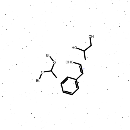 CC(O)CO.CCOC(C)OCC.O=C/C=C\c1ccccc1